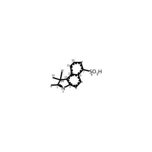 CC1=Nc2ccc3c(S(=O)(=O)O)cccc3c2C1(C)C